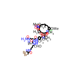 COc1cc2cc(c1Cl)N(C)C(=O)C[C@H](OC(=O)[C@H](C)N(C)C(=O)c1ccc(NC(=O)[C@H](CCCNC(N)=O)NC(=O)[C@@H](NC(C=O)CCCCNC(=O)C(CBr)CBr)C(C)C)c(C(F)(F)F)c1)[C@]1(C)O[C@H]1[C@H](C)[C@@H]1C[C@@](O)(NC(=O)O1)[C@H](OC)/C=C/C=C(\C)C2